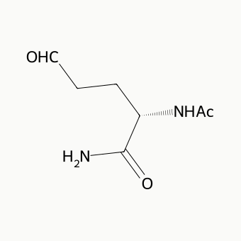 CC(=O)N[C@@H](CCC=O)C(N)=O